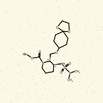 CN(C)S(=O)(=O)N[C@H]1CCCN(C(=O)OC(C)(C)C)[C@H]1COC1CCC2(CC1)OCCO2